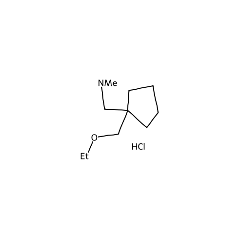 CCOCC1(CNC)CCCC1.Cl